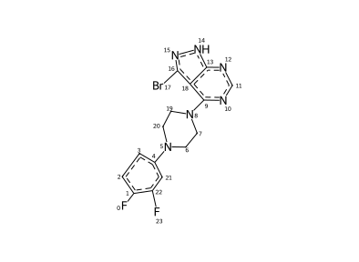 Fc1ccc(N2CCN(c3ncnc4[nH]nc(Br)c34)CC2)cc1F